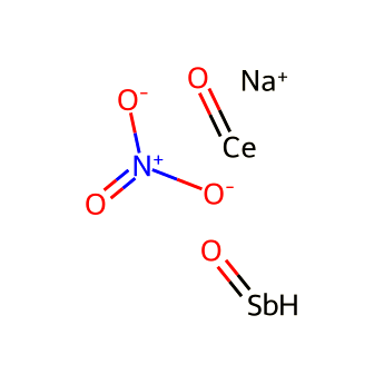 O=[N+]([O-])[O-].[Na+].[O]=[Ce].[O]=[SbH]